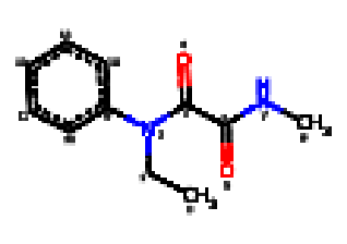 CCN(C(=O)C(=O)NC)c1ccccc1